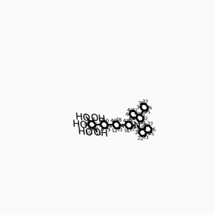 Oc1c(O)c(O)c(-c2ccc(-c3ccc(-c4ccc(N(c5cccc6ccccc56)c5ccc(-c6ccccc6)c6ccccc56)cc4)cc3)cc2)c(O)c1O